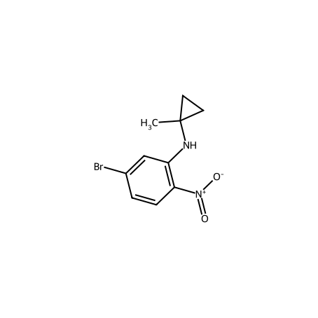 CC1(Nc2cc(Br)ccc2[N+](=O)[O-])CC1